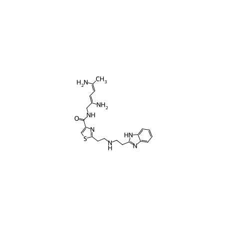 C/C(N)=C/C=C(\N)CNC(=O)c1csc(CCNCCc2nc3ccccc3[nH]2)n1